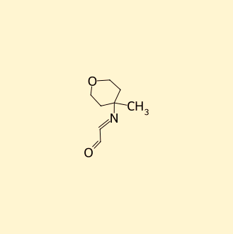 CC1(N=CC=O)CCOCC1